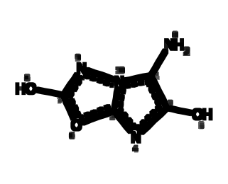 Nc1c(O)nc2oc(O)nn12